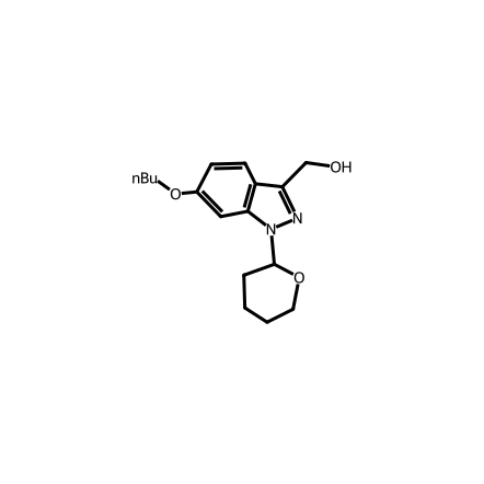 CCCCOc1ccc2c(CO)nn(C3CCCCO3)c2c1